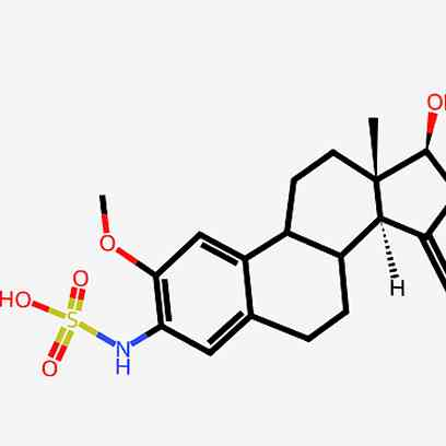 C=C1C[C@H](O)[C@@]2(C)CCC3c4cc(OC)c(NS(=O)(=O)O)cc4CCC3[C@H]12